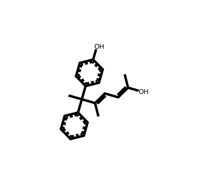 C/C(O)=C\C=C(/C)C(C)(c1ccccc1)c1ccc(O)cc1